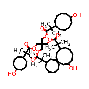 CC(C)(C(=O)OCC(COC(=O)C(C)(C)C1CCCCC(O)CCCC1)(COC(=O)C(C)(C)C1CCCCC(O)CCCC1)COC(=O)C(C)(C)C1CCCC(O)CCC1)C1CCCCCCC1